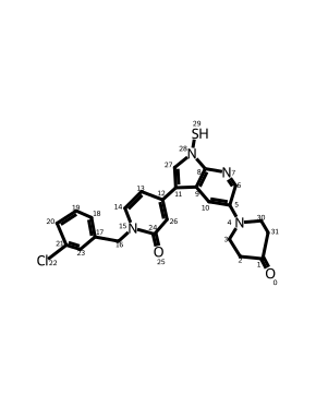 O=C1CCN(c2cnc3c(c2)c(-c2ccn(Cc4cccc(Cl)c4)c(=O)c2)cn3S)CC1